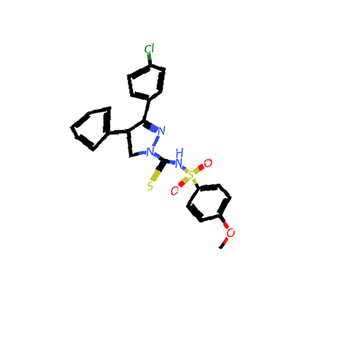 COc1ccc(S(=O)(=O)NC(=S)N2CC(c3ccccc3)C(c3ccc(Cl)cc3)=N2)cc1